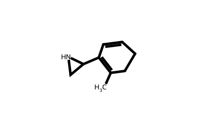 CC1=C(C2CN2)C=CCC1